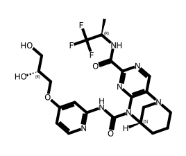 C[C@@H](NC(=O)c1ncc2c(n1)N(C(=O)Nc1cc(OC[C@H](O)CO)ccn1)[C@H]1CCCN2C1)C(F)(F)F